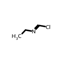 CCN=CCl